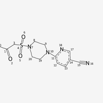 CC(=O)CS(=O)(=O)N1CCN(c2ccc(C#N)cn2)CC1